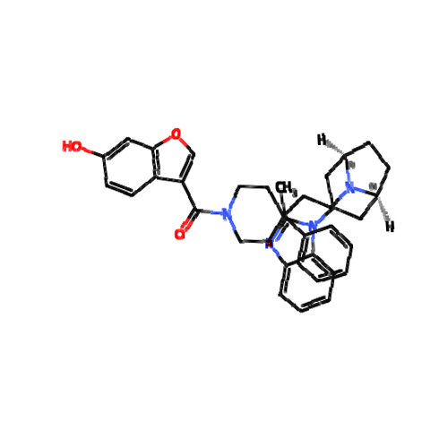 Cc1nc2ccccc2n1C1C[C@H]2CC[C@@H](C1)N2CCC1(c2ccccc2)CCN(C(=O)c2coc3cc(O)ccc23)CC1